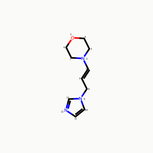 C(=CN1CCOCC1)Cn1ccnc1